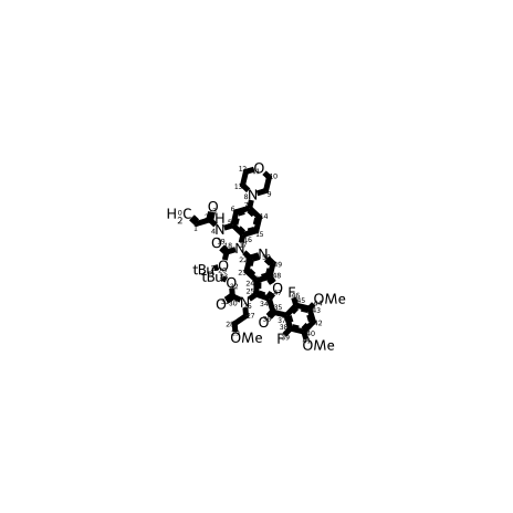 C=CC(=O)Nc1cc(N2CCOCC2)ccc1N(C(=O)OC(C)(C)C)c1cc2c(N(CCOC)C(=O)OC(C)(C)C)c(C(=O)c3c(F)c(OC)cc(OC)c3F)oc2cn1